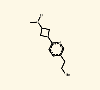 CCB(C)C1CN(c2ccc(CCC(C)(C)C)cn2)C1